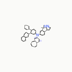 C/C=C(\C=C/C1C=CC=CC=C1)N(c1ccc(C2=CCCC=C2)c(-c2ccc3ccccc3c2)c1)c1ccc2c(c1)C(C)(C)c1[nH]ccc1-2